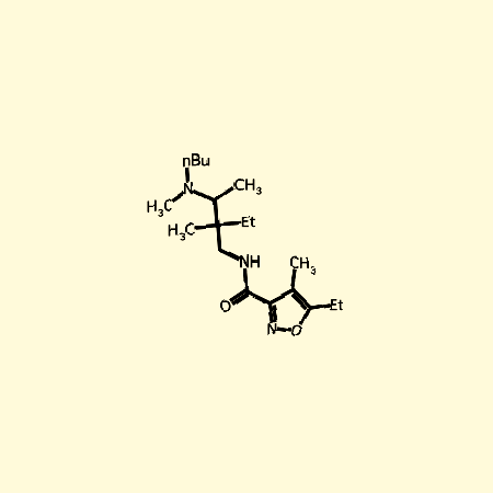 CCCCN(C)C(C)C(C)(CC)CNC(=O)c1noc(CC)c1C